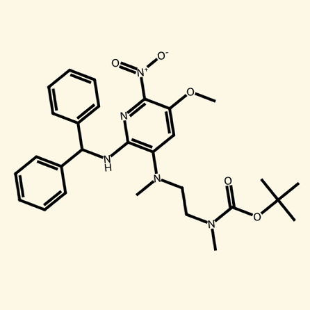 COc1cc(N(C)CCN(C)C(=O)OC(C)(C)C)c(NC(c2ccccc2)c2ccccc2)nc1[N+](=O)[O-]